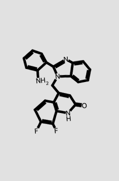 Nc1ccccc1-c1nc2ccccc2n1Cc1cc(=O)[nH]c2c(F)c(F)ccc12